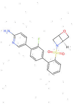 Nc1ccc(-c2ccc(-c3ccccc3S(=O)(=O)N3CC4OC[C@H]43)cc2F)cn1